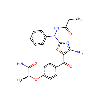 CCC(=O)NN(c1ccccc1)c1nc(N)c(C(=O)c2ccc(O[C@@H](C)C(N)=O)cc2)s1